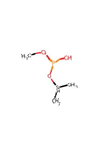 COP(O)O[SiH](C)C